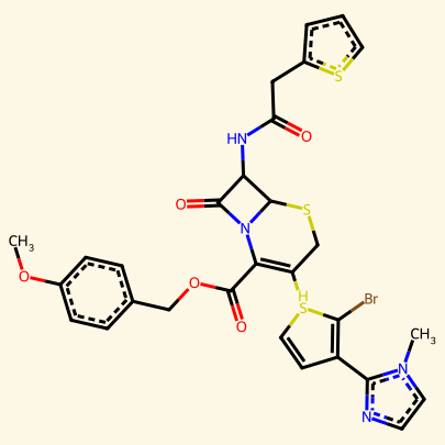 COc1ccc(COC(=O)C2=C([SH]3C=CC(c4nccn4C)=C3Br)CSC3C(NC(=O)Cc4cccs4)C(=O)N23)cc1